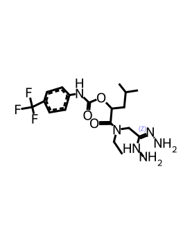 CCN(C/C(=N/N)NN)C(=O)C(CC(C)C)OC(=O)Nc1ccc(C(F)(F)F)cc1